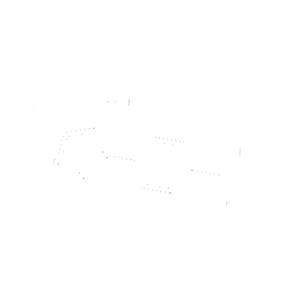 CCOC(=O)c1c(C(F)(F)F)nnn1-c1ccc(C(F)F)cc1